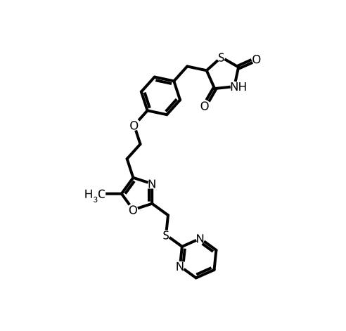 Cc1oc(CSc2ncccn2)nc1CCOc1ccc(CC2SC(=O)NC2=O)cc1